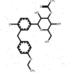 CCOc1ccc(Cc2cc(C3OC(CO)C(O)C(OC(C)=O)C3O)ccc2Cl)cc1